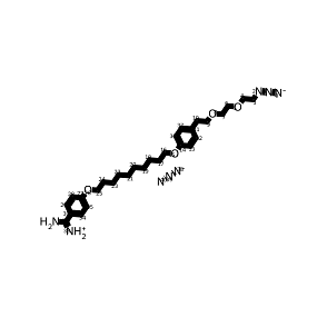 [N-]=[N+]=NCCOCCOCCc1ccc(OCCCCCCCCCCOc2ccc(C(N)=[NH2+])cc2)cc1.[N-]=[N+]=[N-]